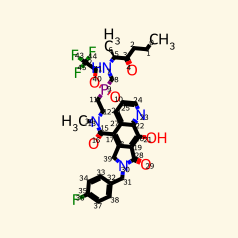 CCCC(=O)[C@H](C)NCP(=O)(CCN(C)C(=O)c1c2c(c(O)c3ncccc13)C(=O)N(Cc1ccc(F)cc1)C2)OCC(F)(F)F